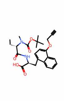 C#CCOc1ccc(C[C@H](NC(=O)[C@H](CC)N(C)C(=O)OC(C)(C)C)C(=O)O)c2ccccc12